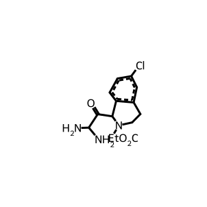 CCOC(=O)N1CCc2cc(Cl)ccc2C1C(=O)C(N)N